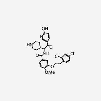 COc1ccc(C(=O)NC(C(=O)c2ccc(O)nc2)C2CCNCC2)cc1OCCc1ccc(Cl)cc1Cl